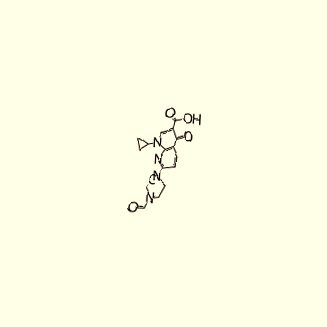 O=CN1CCN(c2ccc3c(=O)c(C(=O)O)cn(C4CC4)c3n2)CC1